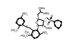 COC(C[C@@H]1O[C@H](c2c([N+](=O)[O-])ccc(C(=O)O)c2C[C@H](C)c2cc([N+](=O)[O-])ccc2C(=O)O)[C@H](OC)[C@H]1CS(=O)(=O)c1ccccc1)OC